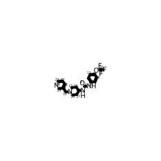 O=C(Nc1ccc(OC(F)(F)F)cc1)NC1CCN(Cc2cccnc2)CC1